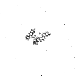 Cl.Cl.Nc1ncc(F)cc1-c1ccc(Oc2ncc(NC(=O)Nc3cc(C(F)(F)F)ccc3-c3cccnc3)cn2)cc1